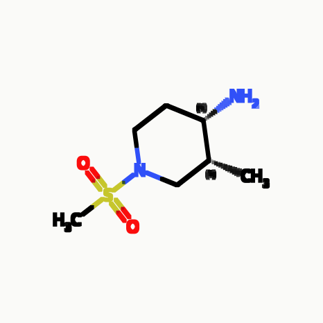 C[C@@H]1CN(S(C)(=O)=O)CC[C@@H]1N